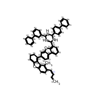 C=C/C=C\c1ccc2oc3c(c2c1C)=C(c1ccc2c(c1)oc1c(C4NC(c5ccc(-c6ccccc6)cc5)NC(c5cccc(-c6ccccc6)c5)N4)cccc12)CCC=3